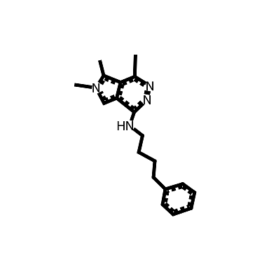 Cc1nnc(NCCCCc2ccccc2)c2cn(C)c(C)c12